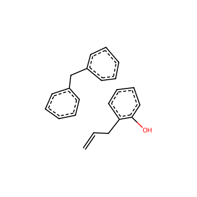 C=CCc1ccccc1O.c1ccc(Cc2ccccc2)cc1